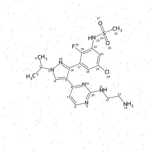 CC(C)n1cc(-c2ccnc(NCCN)n2)c(-c2cc(Cl)cc(NS(C)(=O)=O)c2F)n1